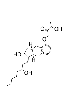 CCCCC[C@H](O)CC[C@@H]1[C@H]2Cc3cccc(OCC(=O)C(C)O)c3C[C@H]2C[C@H]1O